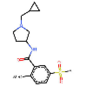 CCS(=O)(=O)c1ccc(OC)c(C(=O)NC2CCN(CC3CC3)C2)c1